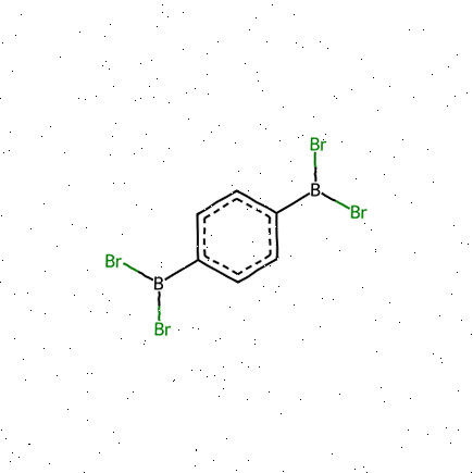 BrB(Br)c1ccc(B(Br)Br)cc1